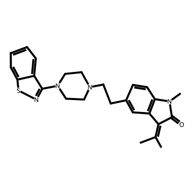 CC(C)=C1C(=O)N(C)c2ccc(CCN3CCN(c4nsc5ccccc45)CC3)cc21